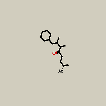 CC(=O)[C@@H](C)CCC(=O)C(C)C(C)CC1CCCCC1